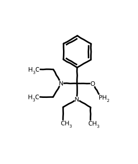 CCN(CC)C(OP)(c1ccccc1)N(CC)CC